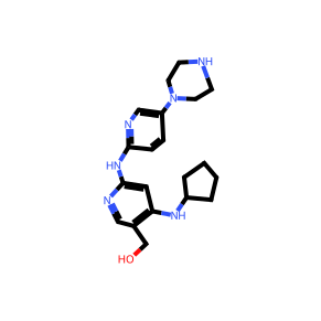 OCc1cnc(Nc2ccc(N3CCNCC3)cn2)cc1NC1CCCC1